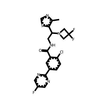 Cc1ncsc1C(CNC(=O)c1cc(-c2ncc(F)cn2)ccc1Cl)N1CC(F)(F)C1